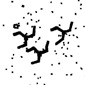 CCN(CC)CC.CCN(CC)CC.CCN(CC)CC.[Cr]